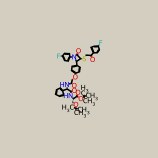 CC(C)(C)OC[C@H](NC(=O)[C@H](NC(=O)COc1ccc(C2C(SCC(=O)c3ccc(F)cc3)C(=O)N2c2ccc(F)cc2)cc1)c1ccccc1)C(=O)OC(C)(C)C